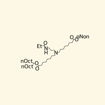 CCCCCCCCCOC(=O)CCCCCCCN(CCCCCCCC(=O)OC(CCCCCCCC)CCCCCCCC)CCCNC(=O)CC